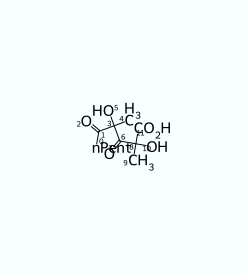 CCCCCC(=O)C(C)(O)C(=O)C(C)(O)C(=O)O